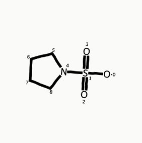 [O]S(=O)(=O)N1CCCC1